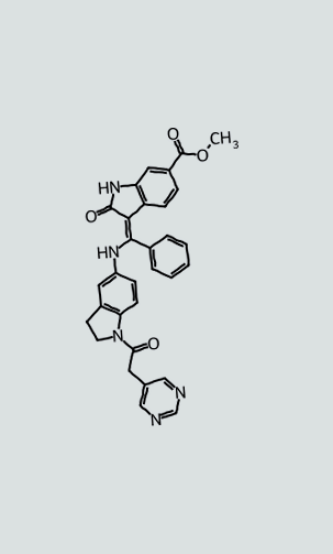 COC(=O)c1ccc2c(c1)NC(=O)/C2=C(\Nc1ccc2c(c1)CCN2C(=O)Cc1cncnc1)c1ccccc1